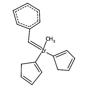 [CH3][Zr](=[CH]c1ccccc1)([C]1=CC=CC1)[C]1=CC=CC1